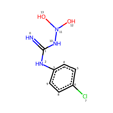 N=C(Nc1ccc(Cl)cc1)NN(O)O